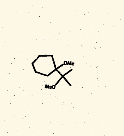 COC(C)(C)C1(OC)CCCCC1